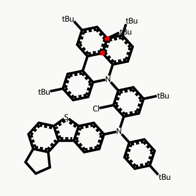 CC(C)(C)c1ccc(N(c2ccc3c(c2)sc2ccc4c(c23)CCC4)c2cc(C(C)(C)C)cc(N(c3ccc(C(C)(C)C)cc3)c3ccc(C(C)(C)C)cc3-c3cc(C(C)(C)C)cc(C(C)(C)C)c3)c2Cl)cc1